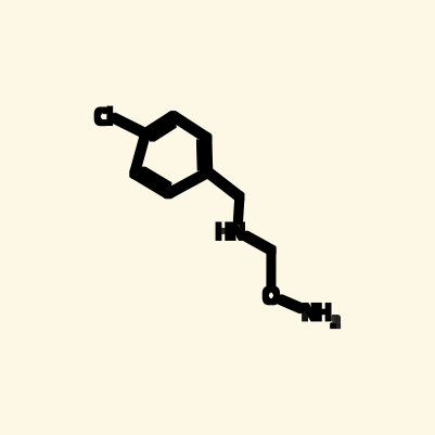 NOCNCc1ccc(Cl)cc1